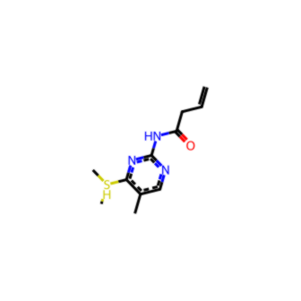 C=CCC(=O)Nc1ncc(C)c([SH](C)C)n1